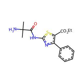 CCOC(=O)c1sc(NC(=O)C(C)(C)N)nc1-c1ccccc1